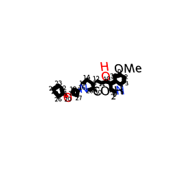 COc1ccc2nccc(C(O)CC[C@@H]3CCN(C4CC(Oc5ccccc5)C4)C[C@@H]3C(=O)O)c2c1